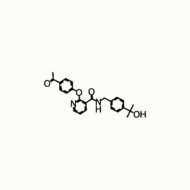 CC(=O)c1ccc(Oc2ncccc2C(=O)NCc2ccc(C(C)(C)O)cc2)cc1